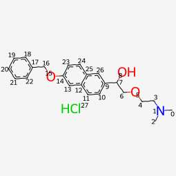 CN(C)CCOCC(O)c1ccc2cc(OCc3ccccc3)ccc2c1.Cl